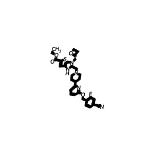 CCOC(=O)c1cc2c(s1)N(C[C@@H]1CCO1)C(CN1CCC(c3cccc(OCc4ccc(C#N)cc4F)n3)CC1)N2